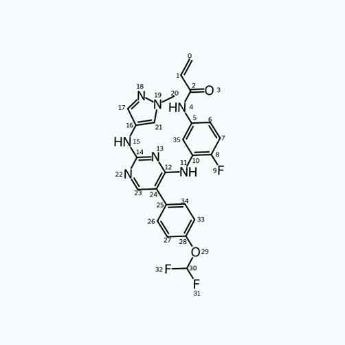 C=CC(=O)Nc1ccc(F)c(Nc2nc(Nc3cnn(C)c3)ncc2-c2ccc(OC(F)F)cc2)c1